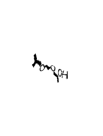 C=C(C)COCCOCC(C)O